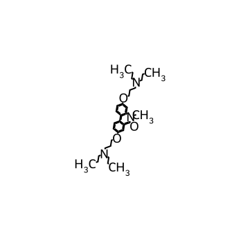 CCCN(CCC)CCCOc1ccc2c(c1)c(=O)n(C)c1cc(OCCCN(CCC)CCC)ccc21